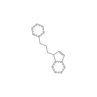 C1=CC(CCCc2ccccc2)c2ccccc21